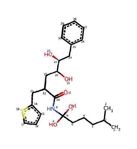 CC(C)CCCC(O)(O)NC(=O)C(Cc1cccs1)CC(O)[C@@H](O)Cc1ccccc1